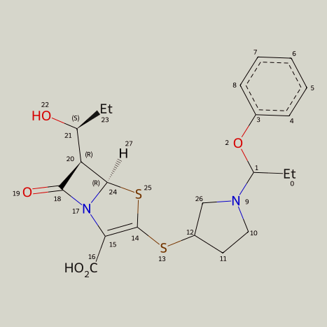 CCC(Oc1ccccc1)N1CCC(SC2=C(C(=O)O)N3C(=O)[C@@H]([C@@H](O)CC)[C@H]3S2)C1